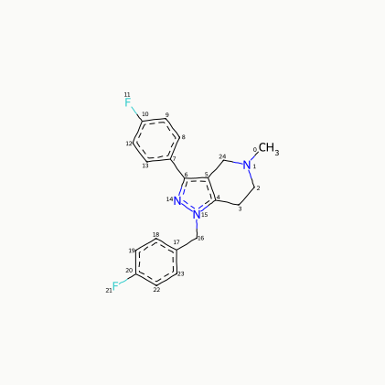 CN1CCc2c(c(-c3ccc(F)cc3)nn2Cc2ccc(F)cc2)C1